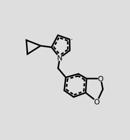 [c]1cc(C2CC2)n(Cc2ccc3c(c2)OCO3)c1